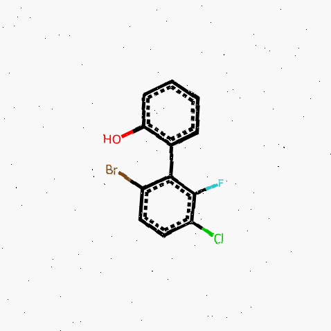 Oc1ccccc1-c1c(Br)ccc(Cl)c1F